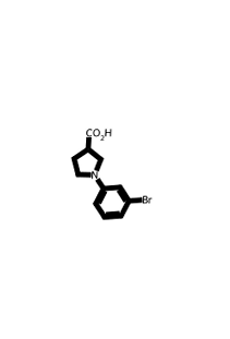 O=C(O)C1CCN(c2cccc(Br)c2)C1